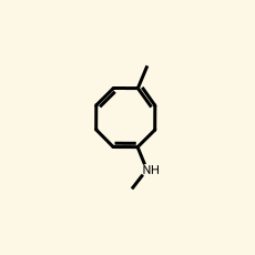 CN/C1=C/C/C=C\C(C)=C/C1